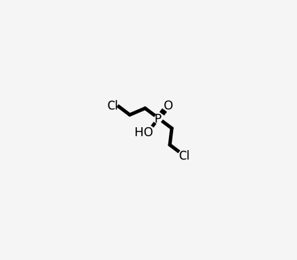 O=P(O)(CCCl)CCCl